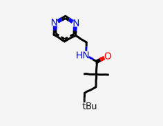 CC(C)(C)CCC(C)(C)C(=O)NCc1ccncn1